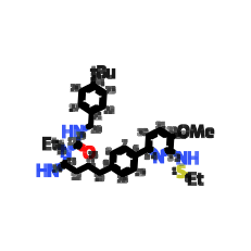 CCSNc1nc(-c2ccc(CCCC(=N)N(CC)C(=O)NCc3ccc(C(C)(C)C)cc3)cc2)ccc1OC